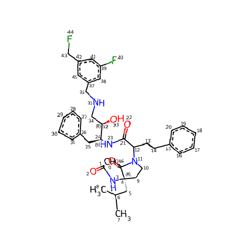 CC(=O)N[C@]1(CC(C)C)CCN(C(CCc2ccccc2)C(=O)N[C@@H](Cc2ccccc2)[C@H](O)CNCc2cc(F)cc(CF)c2)C1=O